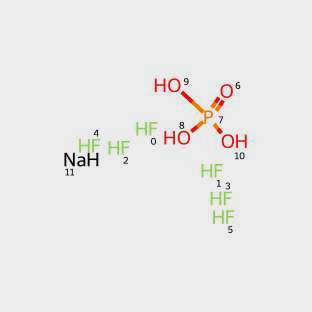 F.F.F.F.F.F.O=P(O)(O)O.[NaH]